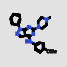 COc1ccc(Nc2nc(N3CCN(C)CC3)nc3c2cnn3-c2ccccc2)cc1